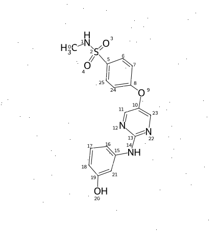 CNS(=O)(=O)c1ccc(Oc2cnc(Nc3cccc(O)c3)nc2)cc1